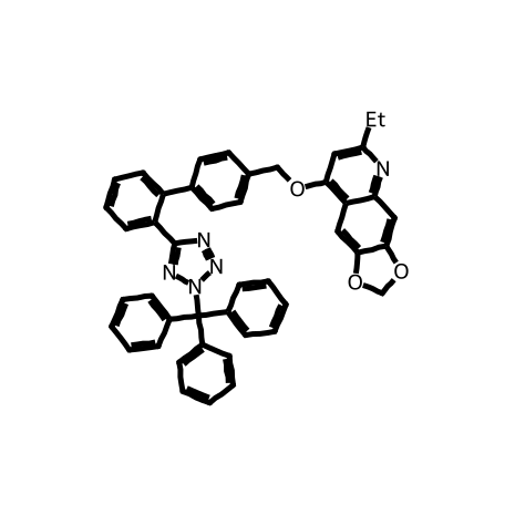 CCc1cc(OCc2ccc(-c3ccccc3-c3nnn(C(c4ccccc4)(c4ccccc4)c4ccccc4)n3)cc2)c2cc3c(cc2n1)OCO3